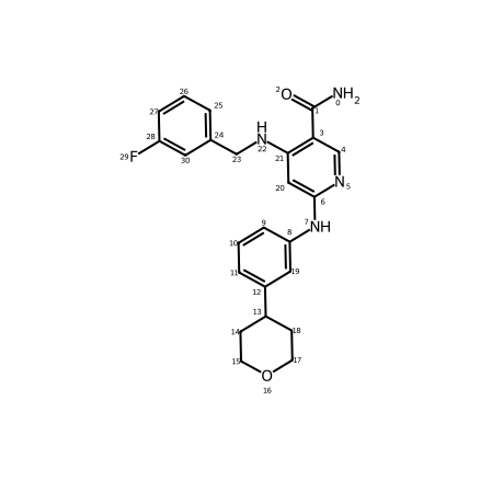 NC(=O)c1cnc(Nc2cccc(C3CCOCC3)c2)cc1NCc1cccc(F)c1